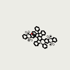 O=S1(=O)c2ccccc2S(=O)(=O)c2cc(-c3c4c(c(-c5ccc6c(c5)S(=O)(=O)c5ccccc5S6(=O)=O)c5c3c3ccccc3n5-c3ccccc3)-c3ccccc3C4(c3ccccc3)c3ccccc3)ccc21